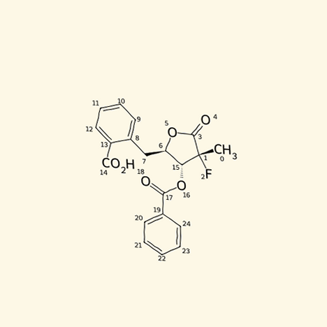 C[C@]1(F)C(=O)O[C@H](Cc2ccccc2C(=O)O)[C@H]1OC(=O)c1ccccc1